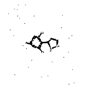 CCc1cc(C)cc(CC)c1C1CCNN1